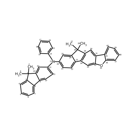 CC1(C)c2ccccc2-c2ccc(N(c3ccccc3)c3ccc4c(c3)C(C)(C)c3cc5c(cc3-4)oc3ccccc35)cc21